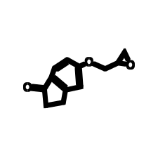 O=C1CCc2cc(OCC3CO3)ccc21